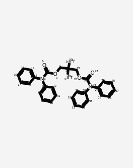 CC(C)C(COC(=O)N(c1ccccc1)c1ccccc1)(COC(=O)N(c1ccccc1)c1ccccc1)C(C)C